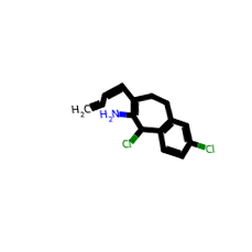 C=C/C=C\C1=C(N)C(Cl)c2ccc(Cl)cc2CC1